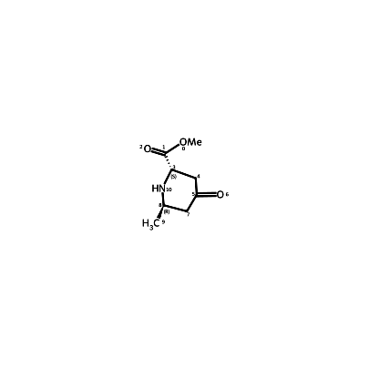 COC(=O)[C@@H]1CC(=O)C[C@@H](C)N1